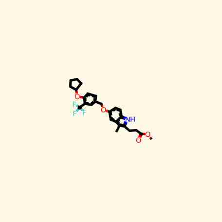 COC(=O)CCc1[nH]c2ccc(OCc3ccc(OC4CCCC4)c(C(F)(F)F)c3)cc2c1C